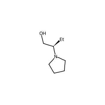 CC[C@H](CO)N1CCCC1